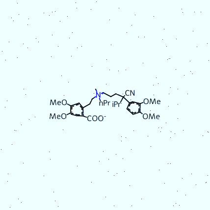 CCC[N+](C)(CCCC(C#N)(c1ccc(OC)c(OC)c1)C(C)C)CCc1cc(OC)c(OC)cc1C(=O)[O-]